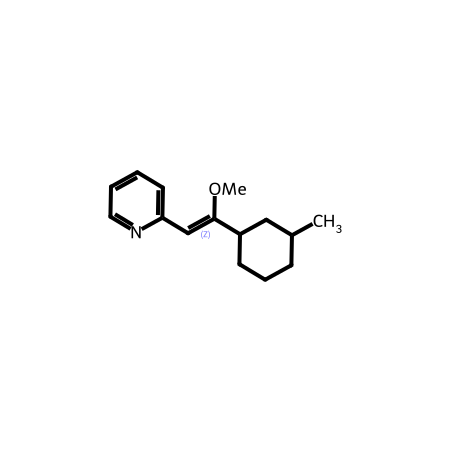 CO/C(=C\c1ccccn1)C1CCCC(C)C1